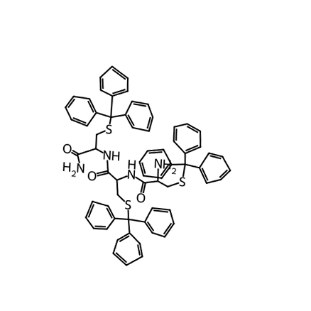 NC(=O)C(CSC(c1ccccc1)(c1ccccc1)c1ccccc1)NC(=O)C(CSC(c1ccccc1)(c1ccccc1)c1ccccc1)NC(=O)C(N)CSC(c1ccccc1)(c1ccccc1)c1ccccc1